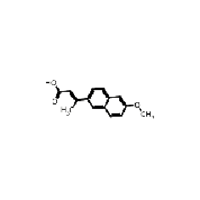 COc1ccc2cc(/C(C)=C/C(=O)O)ccc2c1